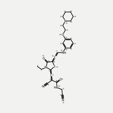 CCn1c(=C=C(C#N)C(=O)NCC#N)sc(=C=CNc2cccc(OCCN3CCCCC3)c2)c1=O